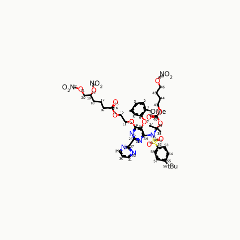 COc1ccccc1Oc1c(OCCOC(=O)CCCC(CO[N+](=O)[O-])O[N+](=O)[O-])nc(-c2ncccn2)nc1N(C(C)(C)OC(=O)OCCCCO[N+](=O)[O-])S(=O)(=O)c1ccc(C(C)(C)C)cc1